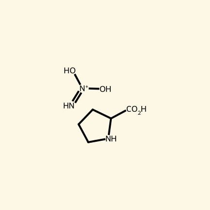 N=[N+](O)O.O=C(O)C1CCCN1